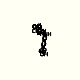 CN(CC(=O)N1CCN(c2ccc(Nc3ncc4c(n3)N(C)CN(c3c(Cl)cccc3Cl)C4=O)cc2)CC1)C(=O)O